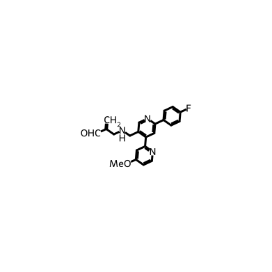 C=C(C=O)CNCc1cnc(-c2ccc(F)cc2)cc1-c1cc(OC)ccn1